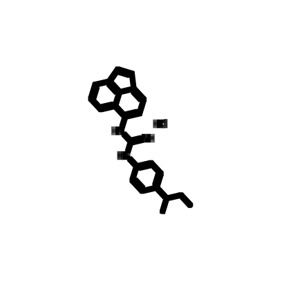 CCC(C)c1ccc(NC(=N)Nc2ccc3c4c(cccc24)C=C3)cc1.Cl